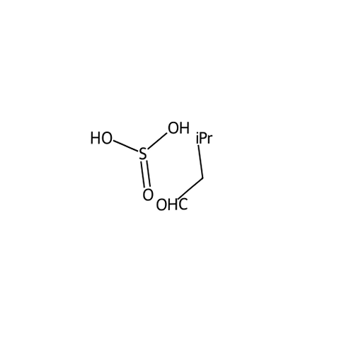 CC(C)CC=O.O=S(O)O